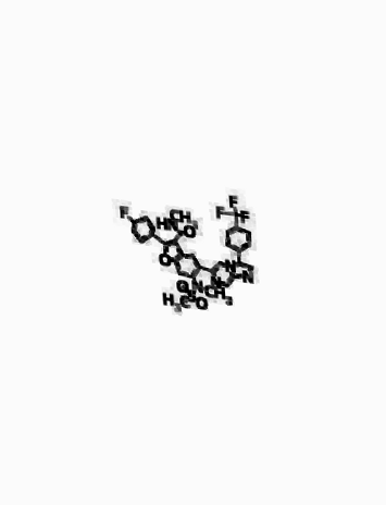 CNC(=O)c1c(-c2ccc(F)cc2)oc2cc(N(C)S(C)(=O)=O)c(-c3cn4c(-c5ccc(C(F)(F)F)cc5)cnc4cn3)cc12